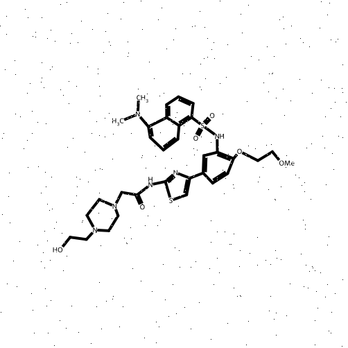 COCCOc1ccc(-c2csc(NC(=O)CN3CCN(CCO)CC3)n2)cc1NS(=O)(=O)c1cccc2c(N(C)C)cccc12